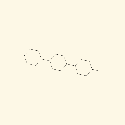 CC1CCC(C2CCC(C3CCCCC3)CC2)CC1